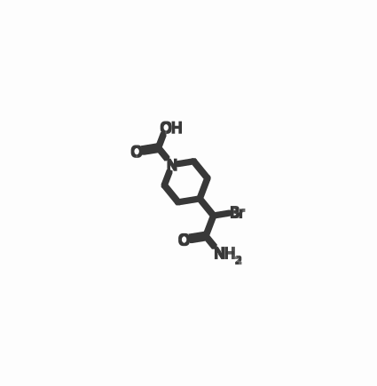 NC(=O)C(Br)C1CCN(C(=O)O)CC1